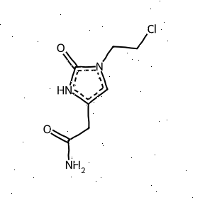 NC(=O)Cc1cn(CCCl)c(=O)[nH]1